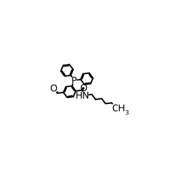 CCCCCCNC(=O)c1ccc(C=O)cc1P(c1ccccc1)c1ccccc1